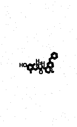 Cc1cc(O)cc(C)c1CC(N)C(=O)NC1CCN(C)c2ccc(Cc3ccccc3)cc21